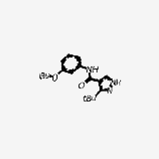 CCC(C)Oc1cccc(NC(=O)c2c[nH]nc2C(C)(C)C)c1